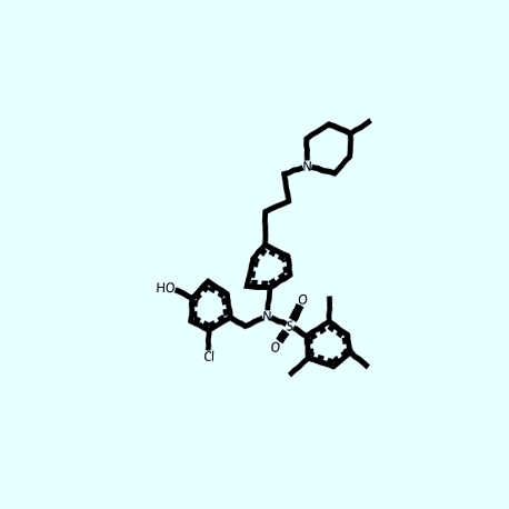 Cc1cc(C)c(S(=O)(=O)N(Cc2ccc(O)cc2Cl)c2ccc(CCCN3CCC(C)CC3)cc2)c(C)c1